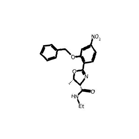 CCNC(=O)[C@H]1N=C(c2ccc([N+](=O)[O-])cc2OCc2ccccc2)O[C@H]1C